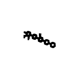 Cc1ccc(-c2ccc(-c3ccc(C4=CCC(C5CCCCC5)CC4)cc3F)cc2)c(F)c1F